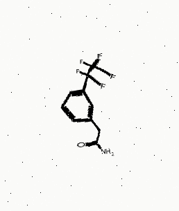 NC(=O)Cc1cccc(C(F)(F)C(F)(F)F)c1